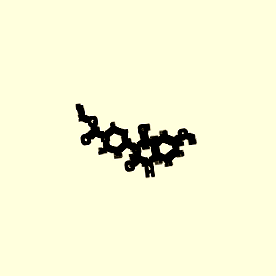 CCOC(=O)N1CCC(n2c(=O)[nH]c3ccc(OC)cc3c2=O)CC1